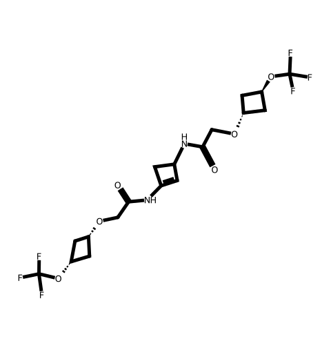 O=C(CO[C@H]1C[C@@H](OC(F)(F)F)C1)NC1=CC(NC(=O)CO[C@H]2C[C@H](OC(F)(F)F)C2)C1